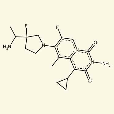 Cc1c(N2CCC(F)(C(C)N)C2)c(F)cn2c(=O)n(N)c(=O)c(C3CC3)c12